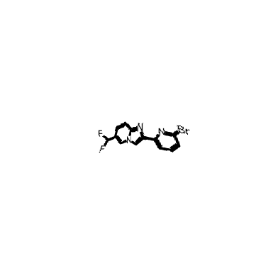 FC(F)c1ccc2nc(-c3cccc(Br)n3)cn2c1